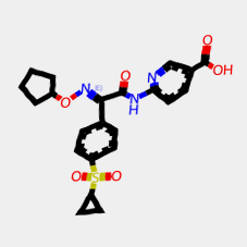 O=C(Nc1ccc(C(=O)O)cn1)/C(=N/OC1CCCC1)c1ccc(S(=O)(=O)C2CC2)cc1